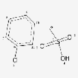 CS(=O)(=O)O.Clc1ccccc1